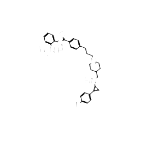 Nc1ccccc1NC(=O)c1ccc(CCCN2CCC(CNC3CC3c3ccc(F)cc3)CC2)cc1